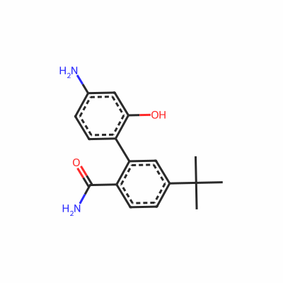 CC(C)(C)c1ccc(C(N)=O)c(-c2ccc(N)cc2O)c1